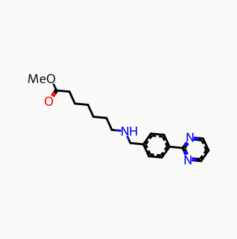 COC(=O)CCCCCCNCc1ccc(-c2ncccn2)cc1